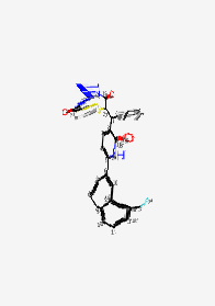 CC(C)C(c1ccc(-c2ccc3cccc(F)c3c2)[nH]c1=O)C1SC(=O)NC1=O